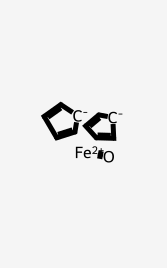 [O]=[Fe+2].c1cc[cH-]c1.c1cc[cH-]c1